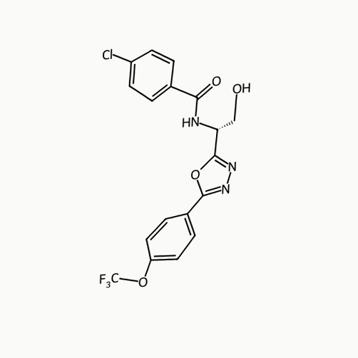 O=C(N[C@H](CO)c1nnc(-c2ccc(OC(F)(F)F)cc2)o1)c1ccc(Cl)cc1